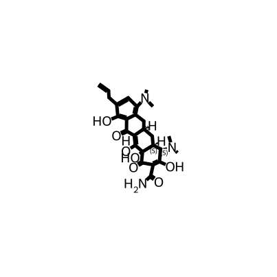 C=CCc1cc(N(C)C)c2c(c1O)C(=O)C1=C(O)C3(O)C(=O)C(C(N)=O)=C(O)[C@@H](N(C)C)[C@@H]3C[C@@H]1C2